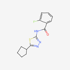 O=C(Nc1nnc(C2CCCC2)s1)c1ccccc1F